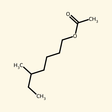 CCC(C)CCCCOC(C)=O